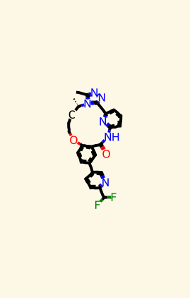 Cc1nnc2n1[C@@H](C)CCCOc1ccc(-c3ccc(C(F)F)nc3)cc1C(=O)Nc1cccc-2n1